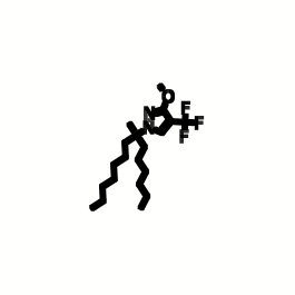 CCCCCCCC(C)(CCCCCC)n1cc(C(F)(F)F)c(OC)n1